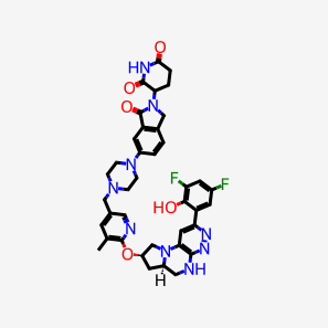 Cc1cc(CN2CCN(c3ccc4c(c3)C(=O)N(C3CCC(=O)NC3=O)C4)CC2)cnc1O[C@@H]1C[C@@H]2CNc3nnc(-c4cc(F)cc(F)c4O)cc3N2C1